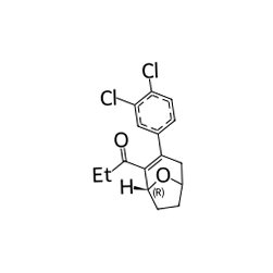 CCC(=O)C1=C(c2ccc(Cl)c(Cl)c2)CC2CC[C@H]1O2